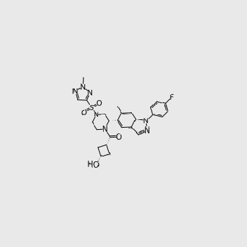 CC1=CC2C(C=NN2c2ccc(F)cc2)C=C1[C@H]1CN(S(=O)(=O)c2cnn(C)n2)CCN1C(=O)[C@H]1C[C@@H](O)C1